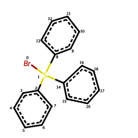 BrS(c1ccccc1)(c1ccccc1)c1ccccc1